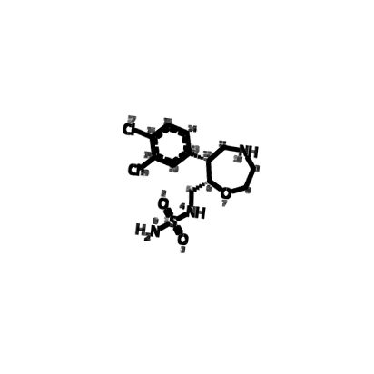 NS(=O)(=O)NC[C@H]1OCCNC[C@H]1c1ccc(Cl)c(Cl)c1